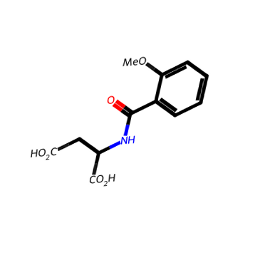 COc1ccccc1C(=O)NC(CC(=O)O)C(=O)O